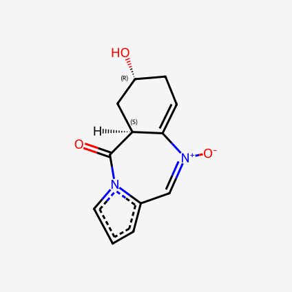 O=C1[C@H]2C[C@H](O)CC=C2[N+]([O-])=Cc2cccn21